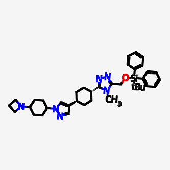 Cn1c(CO[Si](c2ccccc2)(c2ccccc2)C(C)(C)C)nnc1[C@H]1CC[C@H](c2cnn(C3CCC(N4CCC4)CC3)c2)CC1